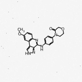 COc1ccc2nc(Nc3ccc(N4CCOCC4=O)cc3)c3n[nH]cc3c2c1